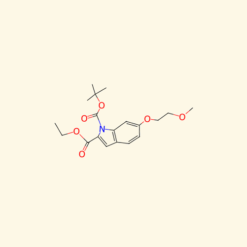 CCOC(=O)c1cc2ccc(OCCOC)cc2n1C(=O)OC(C)(C)C